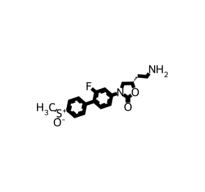 C[S+]([O-])c1ccc(-c2ccc(N3C[C@H](CCN)OC3=O)cc2F)cc1